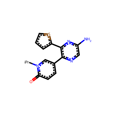 CC(C)n1cc(-c2ncc(N)nc2-c2cccs2)ccc1=O